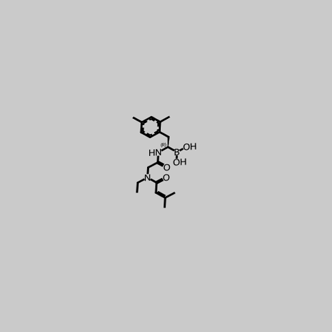 CCN(CC(=O)N[C@@H](Cc1ccc(C)cc1C)B(O)O)C(=O)C=C(C)C